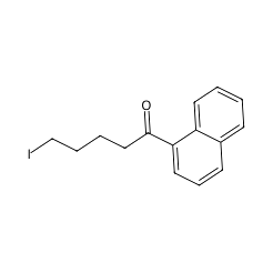 O=C(CCCCI)c1cccc2ccccc12